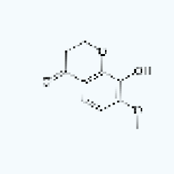 COc1ccc2c(c1O)OCCC2=O